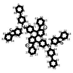 c1ccc(-c2ccc(N(c3ccc(-c4c(-c5ccc6oc7ccccc7c6c5-c5ccc(N(c6ccc(-c7ccccc7)cc6)c6ccc7c(c6)sc6ccccc67)cc5)ccc5oc6ccccc6c45)cc3)c3ccc4c(c3)sc3ccccc34)cc2)cc1